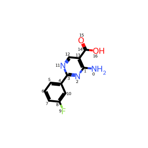 Nc1nc(-c2cccc(F)c2)ncc1C(=O)O